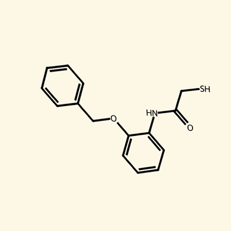 O=C(CS)Nc1ccccc1OCc1ccccc1